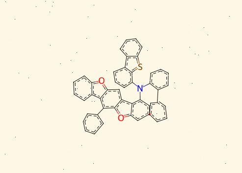 c1ccc(-c2ccccc2N(c2cccc3c2sc2ccccc23)c2cccc3oc4c(-c5ccccc5)c5c(cc4c23)oc2ccccc25)cc1